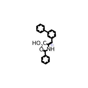 O=C(O)/C(=C\c1cccc(-c2ccccc2)c1)NC(=O)c1ccccc1